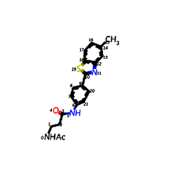 CC(=O)NCCC(=O)Nc1ccc(-c2nc3cc(C)ccc3s2)cc1